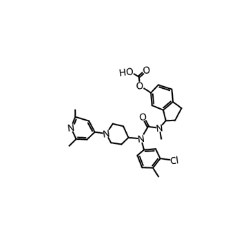 Cc1cc(N2CCC(N(C(=O)N(C)C3CCc4ccc(OC(=O)O)cc43)c3ccc(C)c(Cl)c3)CC2)cc(C)n1